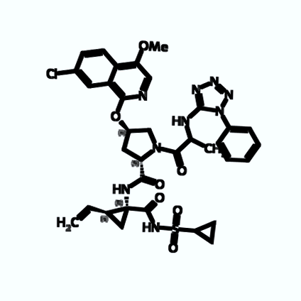 C=C[C@@H]1C[C@]1(NC(=O)[C@@H]1C[C@@H](Oc2ncc(OC)c3ccc(Cl)cc23)CN1C(=O)C(C)Nc1nnnn1-c1ccccc1)C(=O)NS(=O)(=O)C1CC1